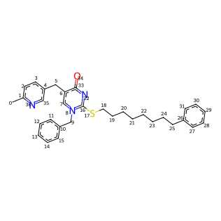 Cc1ccc(Cc2cn(Cc3ccccc3)c(SCCCCCCCCc3ccccc3)nc2=O)cn1